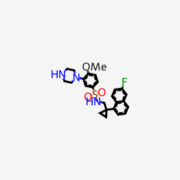 COc1ccc(S(=O)(=O)NCC2(c3cccc4cc(F)ccc34)CC2)cc1N1CCNCC1